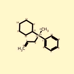 C=CC[N@@+](C)(c1ccccc1)C1CCCCC1